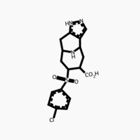 O=C(O)C1CC2NC(Cc3[nH]ncc32)CC1S(=O)(=O)c1ccc(Cl)cc1